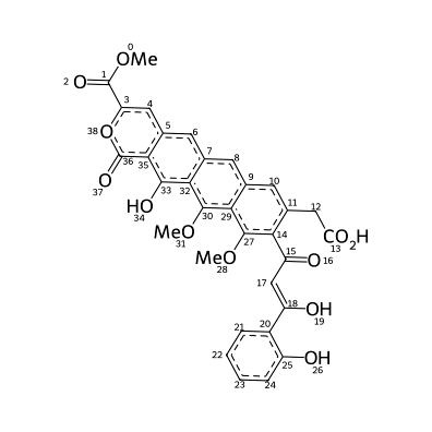 COC(=O)c1cc2cc3cc4cc(CC(=O)O)c(C(=O)/C=C(\O)c5ccccc5O)c(OC)c4c(OC)c3c(O)c2c(=O)o1